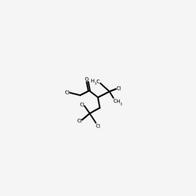 CC(C)(Cl)C(CC(Cl)(Cl)Cl)C(=O)CCl